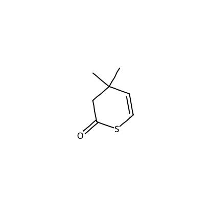 CC1(C)C=CSC(=O)C1